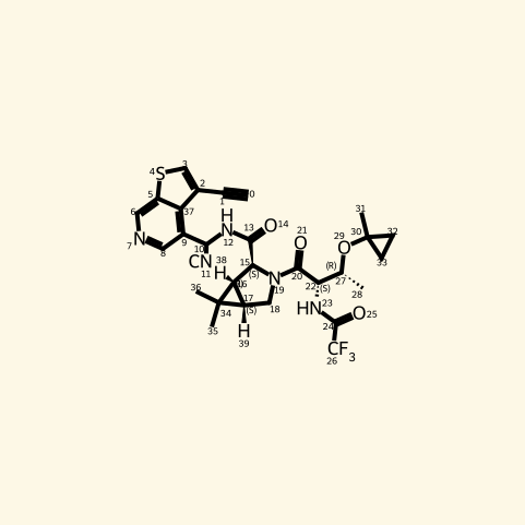 C#Cc1csc2cncc(C(C#N)NC(=O)[C@@H]3[C@@H]4[C@H](CN3C(=O)[C@@H](NC(=O)C(F)(F)F)[C@@H](C)OC3(C)CC3)C4(C)C)c12